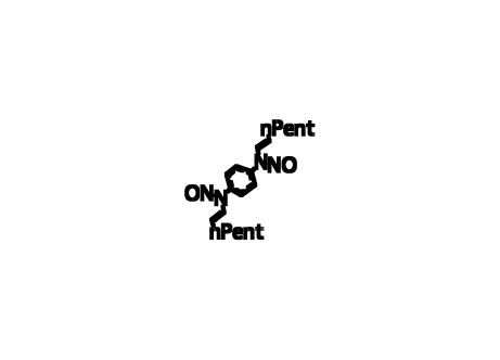 CCCCC/C=C/N(N=O)c1ccc(N(/C=C/CCCCC)N=O)cc1